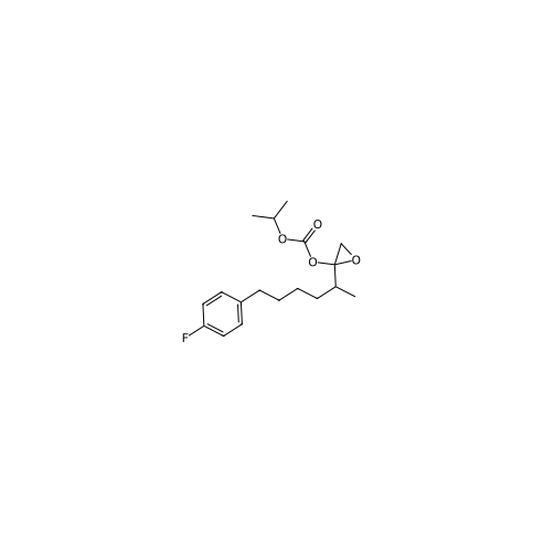 CC(C)OC(=O)OC1(C(C)CCCCc2ccc(F)cc2)CO1